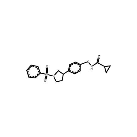 O=C(NSc1ccc(C2CCN(S(=O)(=O)c3ccccc3)C2)cc1)C1CC1